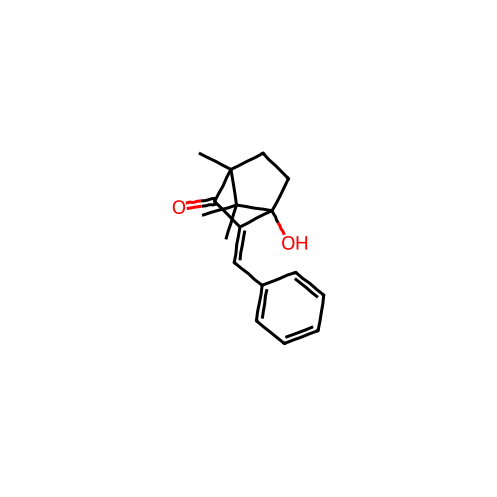 CC12CCC(O)(C(=Cc3ccccc3)C1=O)C2(C)C